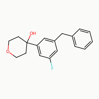 OC1(c2cc(F)cc(Cc3ccccc3)c2)CCOCC1